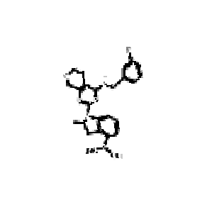 CC1Cc2c(B(O)O)cccc2N1c1nc2c(c(NCc3cccc(F)c3)n1)CCOC2